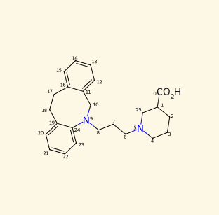 O=C(O)C1CCCN(CCCN2Cc3ccccc3CCc3ccccc32)C1